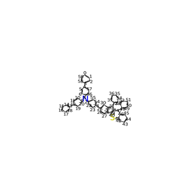 c1ccc(-c2ccc(N(c3ccc(-c4ccccc4)cc3)c3ccc(-c4ccc5c(c4)C(c4ccccc4)C4=C5Sc5ccccc5C4c4ccccc4)cc3)cc2)cc1